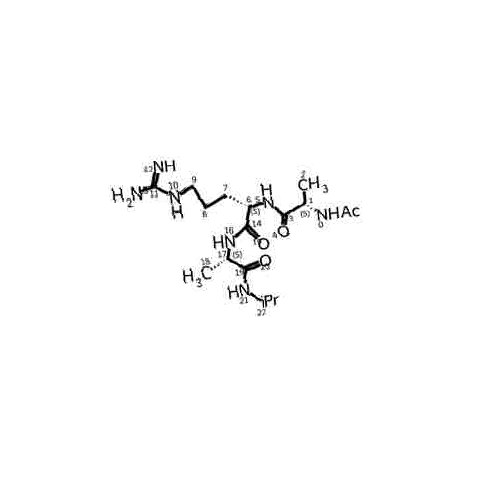 CC(=O)N[C@@H](C)C(=O)N[C@@H](CCCNC(=N)N)C(=O)N[C@@H](C)C(=O)NC(C)C